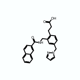 O=C(O)CCc1ccc(Cn2cccn2)cc1CNC(=O)c1ccc2ccccc2c1